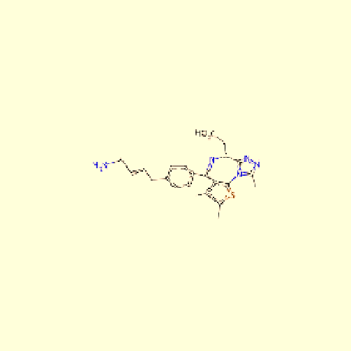 Cc1sc2c(c1C)C(c1ccc(CC=CCN)cc1)=N[C@@H](CC(=O)O)c1nnc(C)n1-2